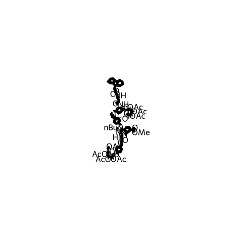 CCCCc1nc2c(NC(=O)OCc3ccc(O[C@H]4O[C@H](COC(C)=O)[C@@H](OC(C)=O)[C@H](OC(C)=O)[C@@H]4OC(C)=O)cc3)nc3cc(C(=O)OC)ccc3c2n1Cc1ccc(C[N+](C)(C)Cc2ccc(O[C@H]3O[C@H](COC(C)=O)[C@@H](OC(C)=O)[C@H](OC(C)=O)[C@@H]3OC(C)=O)c(NC(=O)CCNC(=O)OCC3c4ccccc4-c4ccccc43)c2)cc1